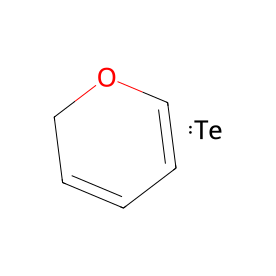 C1=CCOC=C1.[Te]